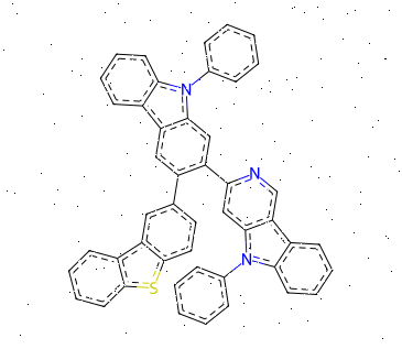 c1ccc(-n2c3ccccc3c3cnc(-c4cc5c(cc4-c4ccc6sc7ccccc7c6c4)c4ccccc4n5-c4ccccc4)cc32)cc1